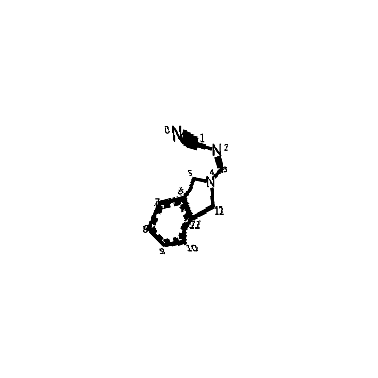 N#C/N=[C]\N1Cc2ccccc2C1